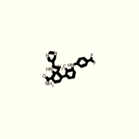 Cc1c(Nc2ccc(C(F)F)cc2)cccc1-c1ccc(C(N)=O)c2[nH]c(-c3cncnc3)cc12